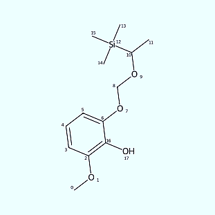 COc1cccc(OCOC(C)[Si](C)(C)C)c1O